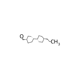 CCC[C@H]1CC[C@H]([C@H]2CC[C@H](C=O)CC2)CC1